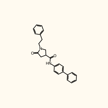 O=C(Nc1ccc(-c2ccccc2)cc1)C1CC(=O)N(CCc2ccccc2)C1